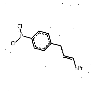 CCCC=CCc1ccc(P(Cl)Cl)cc1